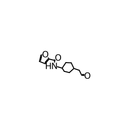 O=CCC1CCC(NC(=O)c2ccco2)CC1